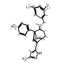 Cc1n[nH]c(C2CC3(c4ccccc4)NC2CCC3OCc2cc(C(F)(F)F)cc(C(F)(F)F)c2)n1.Cl